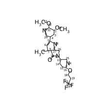 COC1CC(C2=CC(C)C3C(=O)N(C4CCC(OCCC(F)(F)F)=NC4)CC3=N2)C=NC1OC